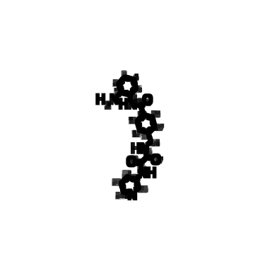 Nc1ccccc1NC(=O)c1ccc(CNC(=O)C(=O)Nc2cccnc2)cc1